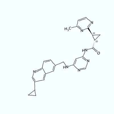 Cc1ccnc([C@H]2C[C@@H]2C(=O)Nc2cc(NCc3ccc4ncc(C5CC5)cc4c3)ncn2)n1